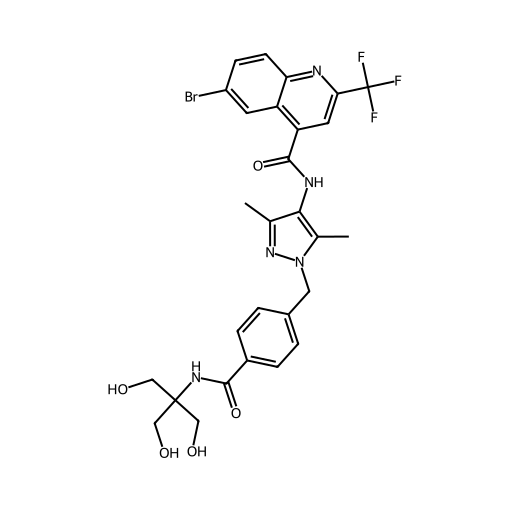 Cc1nn(Cc2ccc(C(=O)NC(CO)(CO)CO)cc2)c(C)c1NC(=O)c1cc(C(F)(F)F)nc2ccc(Br)cc12